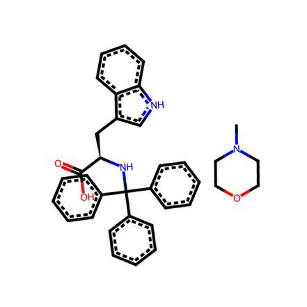 CN1CCOCC1.O=C(O)[C@@H](Cc1c[nH]c2ccccc12)NC(c1ccccc1)(c1ccccc1)c1ccccc1